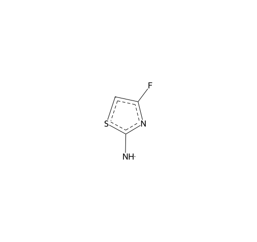 [NH]c1nc(F)cs1